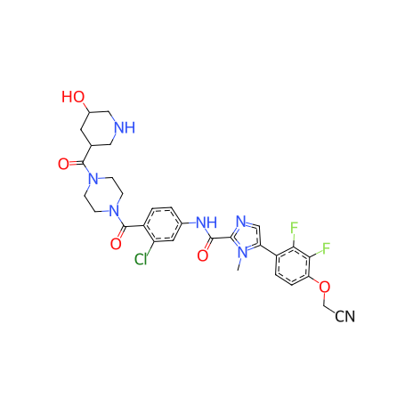 Cn1c(-c2ccc(OCC#N)c(F)c2F)cnc1C(=O)Nc1ccc(C(=O)N2CCN(C(=O)C3CNCC(O)C3)CC2)c(Cl)c1